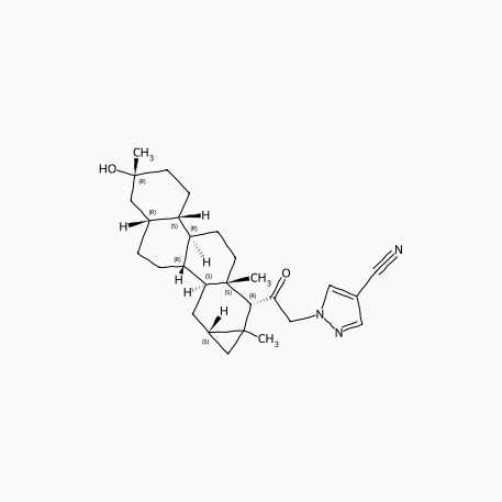 CC12C[C@@H]1C[C@H]1[C@@H]3CC[C@@H]4C[C@](C)(O)CC[C@@H]4[C@H]3CC[C@]1(C)[C@@H]2C(=O)Cn1cc(C#N)cn1